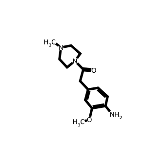 COc1cc(CC(=O)N2CCN(C)CC2)ccc1N